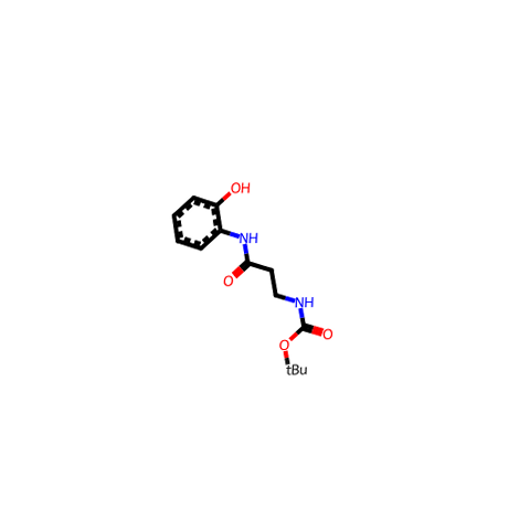 CC(C)(C)OC(=O)NCCC(=O)Nc1ccccc1O